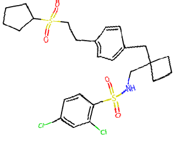 O=S(=O)(NCC1(Cc2ccc(CCS(=O)(=O)C3CCCC3)cc2)CCC1)c1ccc(Cl)cc1Cl